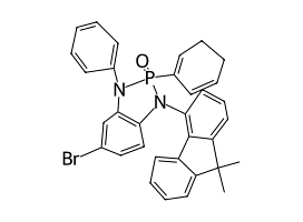 CC1(C)c2ccccc2-c2c(N3c4ccc(Br)cc4N(c4ccccc4)P3(=O)C3=CCCC=C3)cccc21